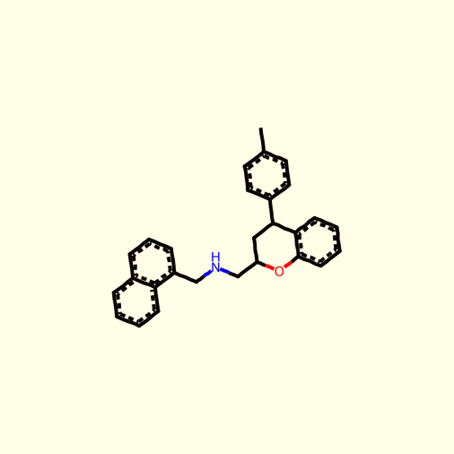 Cc1ccc(C2CC(CNCc3cccc4ccccc34)Oc3ccccc32)cc1